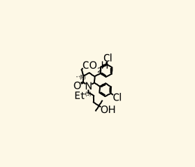 CC[C@@H](CCC(C)(C)O)N1C(=O)[C@@](C)(CC(=O)O)CC(c2cccc(Cl)c2)C1c1ccc(Cl)cc1